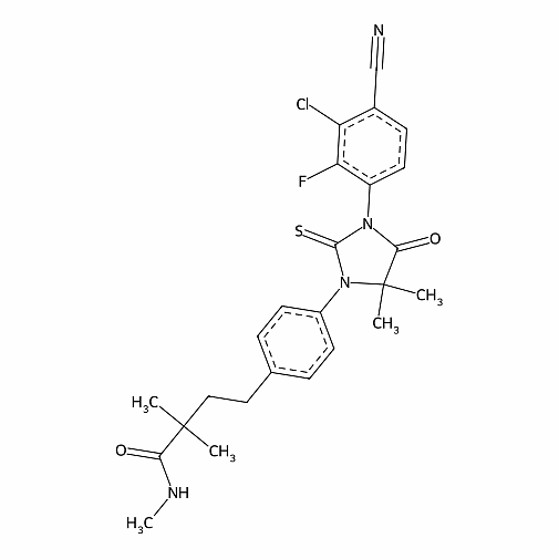 CNC(=O)C(C)(C)CCc1ccc(N2C(=S)N(c3ccc(C#N)c(Cl)c3F)C(=O)C2(C)C)cc1